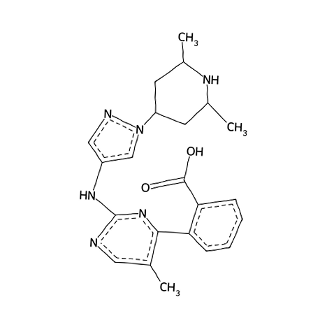 Cc1cnc(Nc2cnn(C3CC(C)NC(C)C3)c2)nc1-c1ccccc1C(=O)O